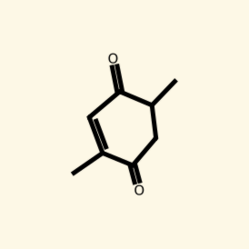 CC1=CC(=O)C(C)CC1=O